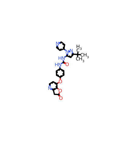 CC(C)(C)c1cc(NC(=O)Nc2ccc(Oc3ccnc4c3OC(=O)C4)cc2)n(-c2ccncc2)n1